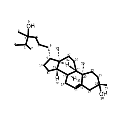 CC(C)C(C)(O)CCC[C@H]1CC[C@H]2[C@@H]3CC=C4C[C@@](C)(O)CC[C@]4(C)[C@H]3CC[C@]12C